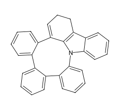 C1=c2c3ccccc3c3ccccc3c3ccccc3n3c2c(c2ccccc23)CC1